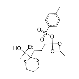 CCC(C)(O)C1(CCCC2(OS(=O)(=O)c3ccc(C)cc3)OC(C)O2)SCCCS1